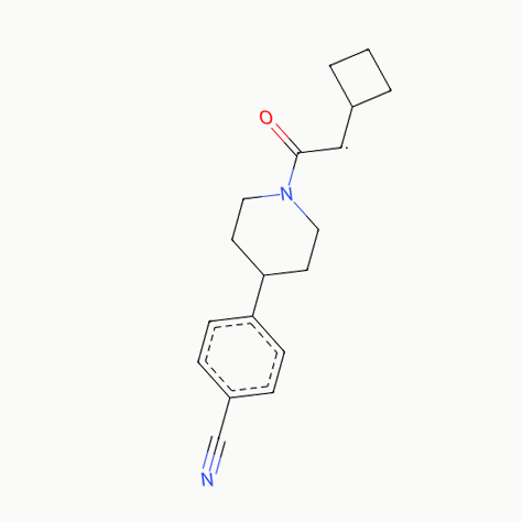 N#Cc1ccc(C2CCN(C(=O)[CH]C3CCC3)CC2)cc1